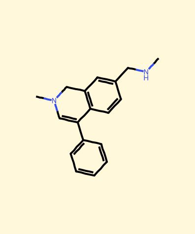 CNCc1ccc2c(c1)CN(C)C=C2c1ccccc1